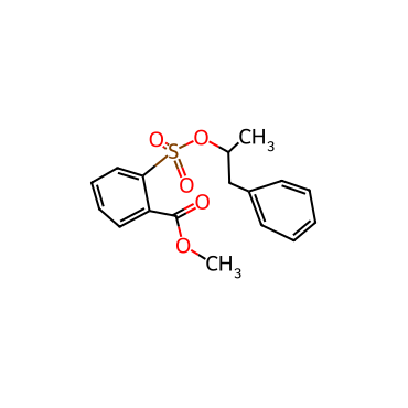 COC(=O)c1ccccc1S(=O)(=O)OC(C)Cc1ccccc1